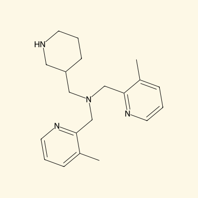 Cc1cccnc1CN(Cc1ncccc1C)CC1CCCNC1